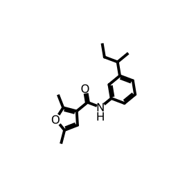 CCC(C)c1cccc(NC(=O)c2cc(C)oc2C)c1